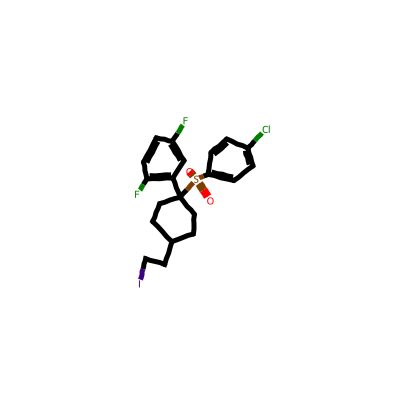 O=S(=O)(c1ccc(Cl)cc1)C1(c2cc(F)ccc2F)CCC(CCI)CC1